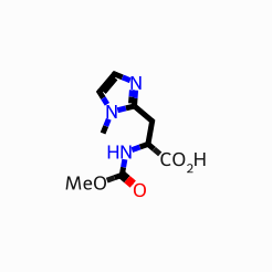 COC(=O)NC(Cc1nccn1C)C(=O)O